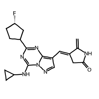 C=C1NC(=O)C/C1=C\c1cnn2c(NC3CC3)nc(C3CC[C@H](F)C3)nc12